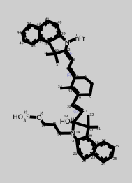 CCCN1/C(=C/C=C2\CCCC(/C=C/C3(O)N(CCCOS(=O)(=O)O)c4ccc5ccccc5c4C3(C)C)=C2C)C(C)(C)c2c1ccc1ccccc21